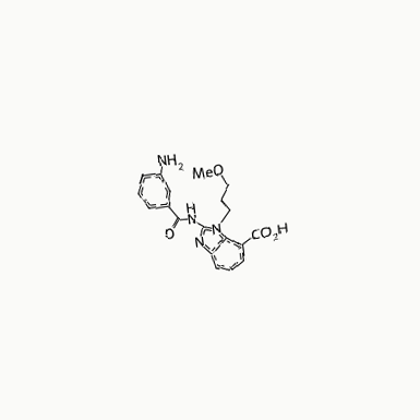 COCCCn1c(NC(=O)c2cccc(N)c2)nc2cccc(C(=O)O)c21